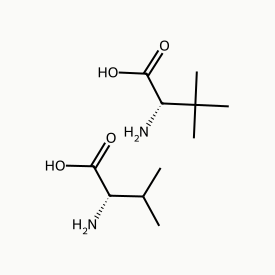 CC(C)(C)[C@H](N)C(=O)O.CC(C)[C@H](N)C(=O)O